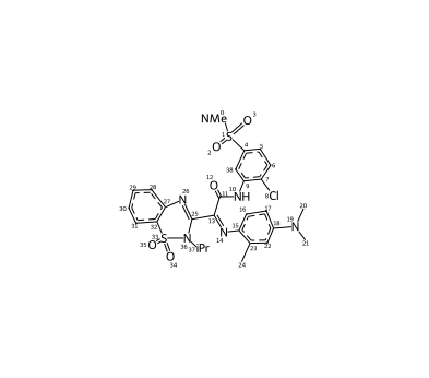 CNS(=O)(=O)c1ccc(Cl)c(NC(=O)/C(=N\c2ccc(N(C)C)cc2C)C2=Nc3ccccc3S(=O)(=O)N2C(C)C)c1